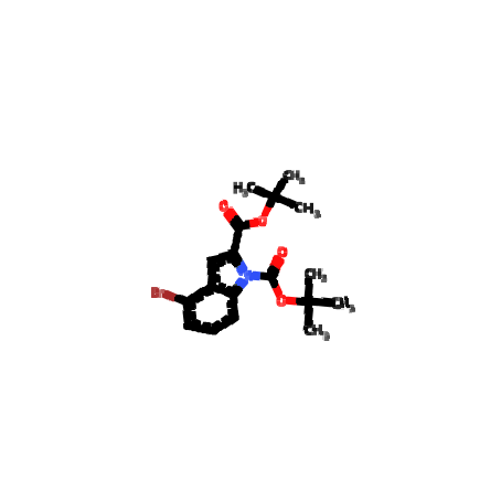 CC(C)(C)OC(=O)c1cc2c(Br)cccc2n1C(=O)OC(C)(C)C